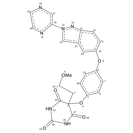 COCCC1(Oc2ccc(Oc3ccc4nn(-c5cnccn5)cc4c3)cc2)C(=O)NC(=O)NC1=O